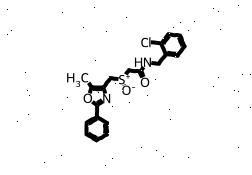 Cc1oc(-c2ccccc2)nc1C[S+]([O-])CC(=O)NCc1ccccc1Cl